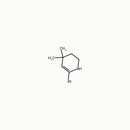 CC(C)C1=CC(C)(C)CCN1